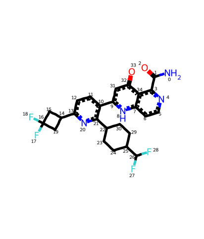 NC(=O)c1nccc2[nH]c(-c3ccc(C4CC(F)(F)C4)nc3C3CCC(C(F)F)CC3)cc(=O)c12